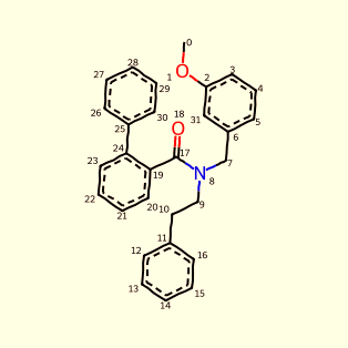 COc1cccc(CN(CCc2ccccc2)C(=O)c2ccccc2-c2ccccc2)c1